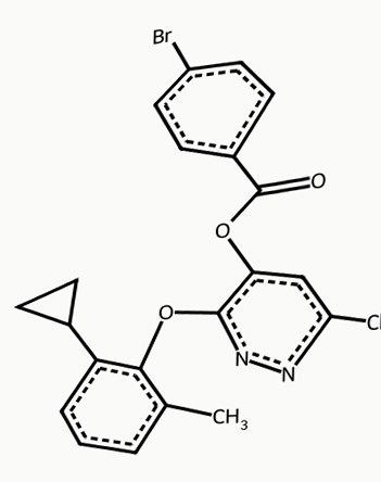 Cc1cccc(C2CC2)c1Oc1nnc(Cl)cc1OC(=O)c1ccc(Br)cc1